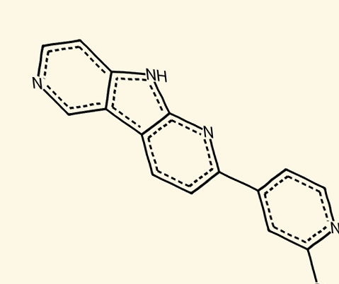 Oc1cc(-c2ccc3c(n2)[nH]c2ccncc23)ccn1